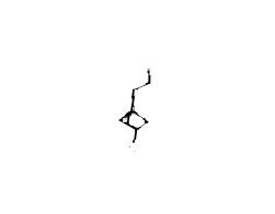 NC12CC(CCO)(C1)C2